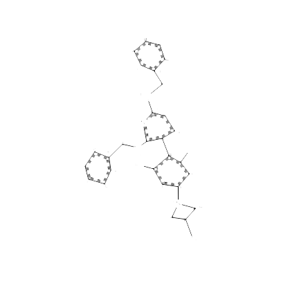 OC1CN(c2cc(F)c(-c3ccc(OCc4ccccc4)nc3OCc3ccccc3)c(F)c2)C1